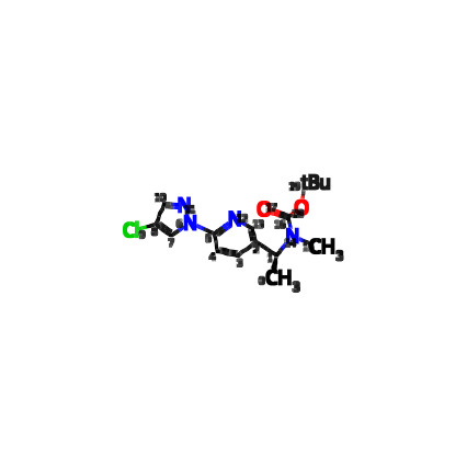 C[C@@H](c1ccc(-n2cc(Cl)cn2)nc1)N(C)C(=O)OC(C)(C)C